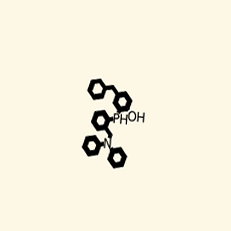 Oc1ccc(CC2C=CC=CC2)cc1Pc1ccccc1CN(c1ccccc1)c1ccccc1